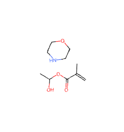 C1COCCN1.C=C(C)C(=O)OC(C)O